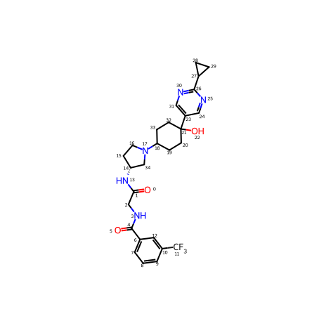 O=C(CNC(=O)c1cccc(C(F)(F)F)c1)N[C@@H]1CCN(C2CCC(O)(c3cnc(C4CC4)nc3)CC2)C1